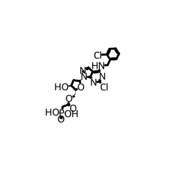 O=C(CP(=O)(O)O)OC[C@H]1O[C@@H](n2ncc3c(NCc4ccccc4Cl)nc(Cl)nc32)C[C@@H]1O